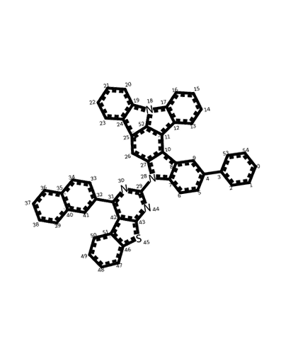 c1ccc(-c2ccc3c(c2)c2c4c5ccccc5n5c6ccccc6c(cc2n3-c2nc(-c3ccc6ccccc6c3)c3c(n2)sc2ccccc23)c45)cc1